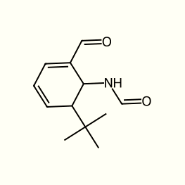 CC(C)(C)C1C=CC=C(C=O)C1NC=O